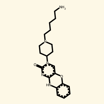 NCCCCCN1CCC(n2cc3c(nc2=O)Nc2ccccc2O3)CC1